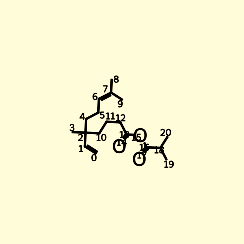 C=CC(C)(CCC=C(C)C)CCCC(=O)OC(=O)C(C)C